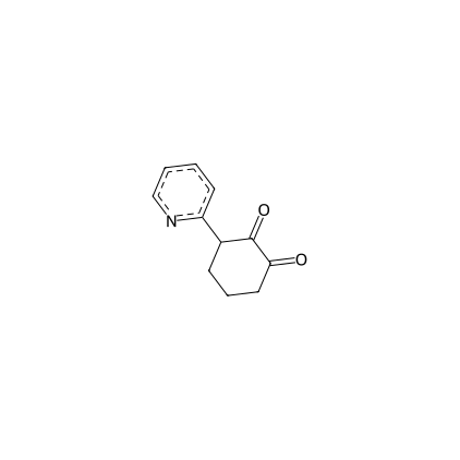 O=C1CCCC(c2ccccn2)C1=O